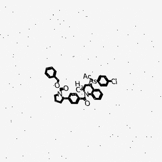 CC(=O)[As](c1ccc(Cl)cc1)[C@@H]1C[C@@H](C)N(C(=O)c2ccc(C3CCCN3C(=O)OCc3ccccc3)cc2)c2ccccc21